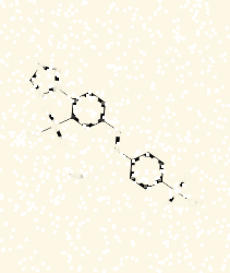 O=S(=O)(O)c1ccc(N=Nc2ccc(-n3ncnn3)c(S(=O)(=O)O)c2)cc1.[NaH]